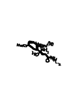 COc1ccc(OC)c(C(N)(O)CCC(N)=O)c1.Cl